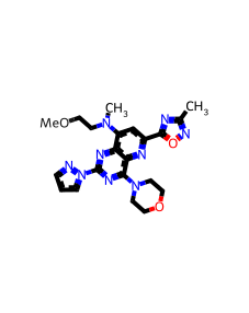 COCCN(C)c1cc(-c2nc(C)no2)nc2c(N3CCOCC3)nc(-n3cccn3)nc12